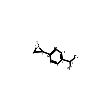 FC(F)c1ccc(C2CO2)cc1